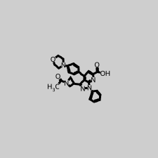 CC(=O)N1CC(c2nn(-c3ccccc3)c3nc(C(=O)O)cc(-c4ccc(N5CCOCC5)cc4)c23)C1